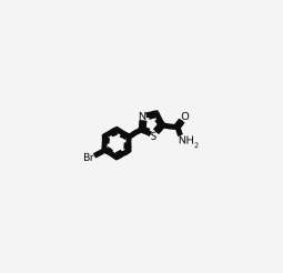 NC(=O)c1cnc(-c2ccc(Br)cc2)s1